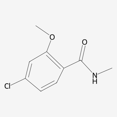 CNC(=O)c1ccc(Cl)cc1OC